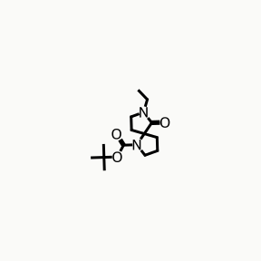 CCN1CCC2(CCCN2C(=O)OC(C)(C)C)C1=O